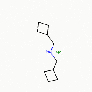 C1CC(CNCC2CCC2)C1.Cl